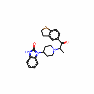 CC(C(=O)c1ccc2c(c1)CCS2)N1CCC(n2c(=O)[nH]c3ccccc32)CC1